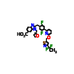 CC(F)(F)c1cc(COc2cccc(-c3cc(F)c(Cc4nc5ccc(C(=O)O)cc5n4C[C@@H]4CCO4)cc3F)n2)sn1